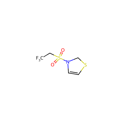 O=S(=O)(CC(F)(F)F)N1C=CSC1